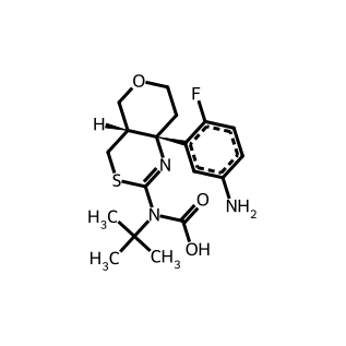 CC(C)(C)N(C(=O)O)C1=N[C@@]2(c3cc(N)ccc3F)CCOC[C@H]2CS1